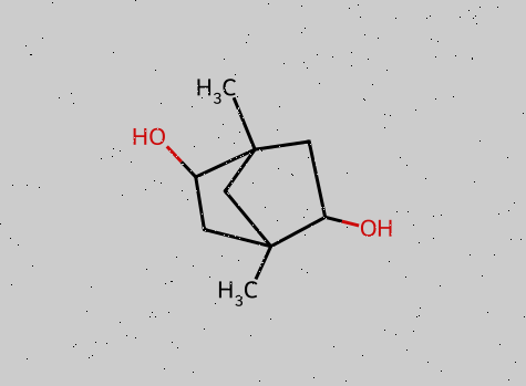 CC12CC(O)C(C)(CC1O)C2